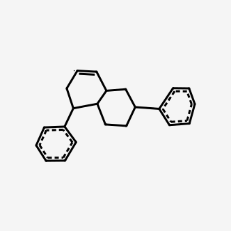 [C]1=CC2CC(c3ccccc3)CCC2C(c2ccccc2)C1